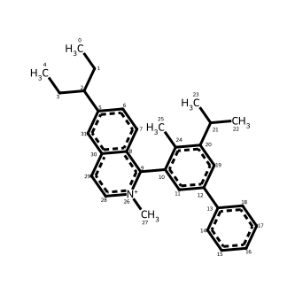 CCC(CC)c1ccc2c(-c3cc(-c4ccccc4)cc(C(C)C)c3C)[n+](C)ccc2c1